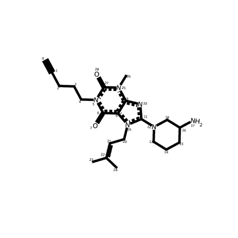 C#CCCCn1c(=O)c2c(nc(N3CCCC(N)C3)n2CC=C(C)C)n(C)c1=O